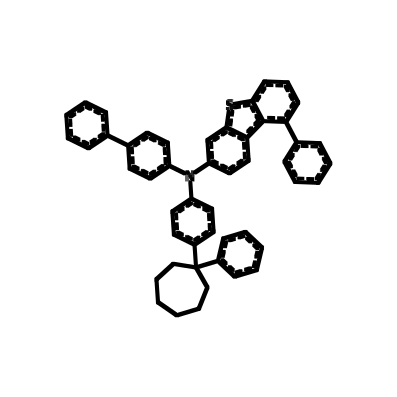 c1ccc(-c2ccc(N(c3ccc(C4(c5ccccc5)CCCCCC4)cc3)c3ccc4c(c3)sc3cccc(-c5ccccc5)c34)cc2)cc1